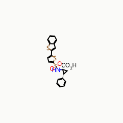 O=C(O)[C@]1(NS(=O)(=O)c2ccc(-c3cc4ccccc4s3)s2)C[C@@H]1c1ccccc1